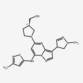 Cc1cc(Nc2cc(N3CC[C@@H](CO)C3)nc3c(C4C=NN(C)C4)cnn23)sn1